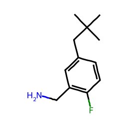 CC(C)(C)Cc1ccc(F)c(CN)c1